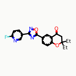 CCC1(CC)CC(=O)c2cc(-c3nc(-c4ccc(F)nc4)no3)ccc2O1